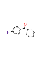 O=C(c1ccc(I)cc1)C1C=CC=CC1